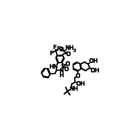 CC(C)(C)NC[C@H](O)COc1cccc2c1C[C@H](O)[C@H](O)C2.NS(=O)(=O)c1cc2c(cc1C(F)(F)F)NC(Cc1ccccc1)NS2(=O)=O